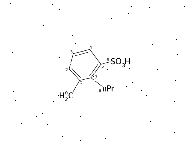 [CH2]c1cccc(S(=O)(=O)O)c1CCC